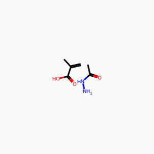 C=C(C)C(=O)O.CC(=O)NN